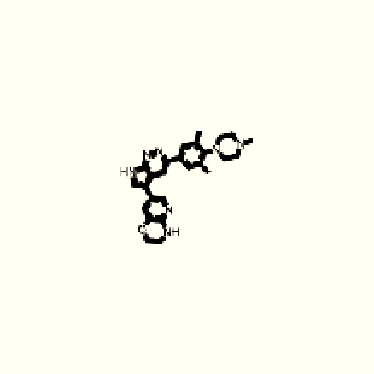 Cc1cc(-c2cc3c(-c4cnc5c(c4)OCCN5)c[nH]c3nn2)cc(C)c1N1CCN(C)CC1